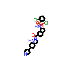 O=C(c1ccc2c(c1)[C@H](NS(=O)(=O)c1c(Cl)cccc1Cl)CC2)N1CCC2(CCC(c3ccncc3)CC2)N1